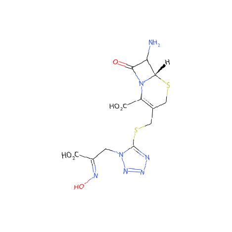 NC1C(=O)N2C(C(=O)O)=C(CSc3nnnn3CC(=NO)C(=O)O)CS[C@@H]12